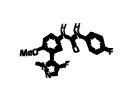 COc1ccc(NC(=O)Nc2ccc(F)cc2)cc1-c1c(F)cnn1C